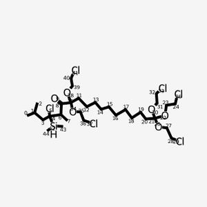 CC(C)CC(Cl)(C(C)C(=O)C(CCCCCCCCCCC(OCCCl)(OCCCl)OCCCl)(OCCCl)OCCCl)[SiH](C)C